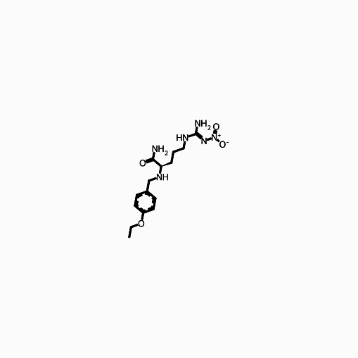 CCOc1ccc(CN[C@H](CCCNC(N)=N[N+](=O)[O-])C(N)=O)cc1